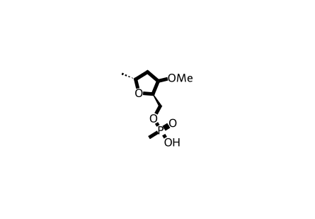 COC1C[C@@H](C)O[C@@H]1COP(C)(=O)O